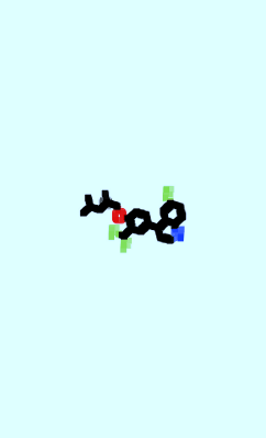 CC(C)C[C@@H](C)COc1ccc(-c2ccnc3ccc(F)cc23)cc1C(F)F